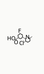 Cc1ccc(Cl)c(-c2cc(F)cc(C(=O)O)c2)n1